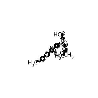 CCCC1CCC(N2CC=C(c3cnc(-c4ccc(C[C@H](NC(=O)c5ccc(C(C)(C)C)s5)C(=O)N5CC(C(=O)O)C5)cc4)nc3)CC2)CC1